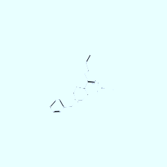 C=CCC/C(=N/[S+]([O-])CCCC)C1CCN(Cc2ccccc2)CC1